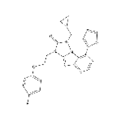 O=c1n(CCOc2ccc(F)cc2)c2nc3ncnc(-c4ccco4)c3n2n1CC1CC1